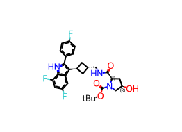 CC(C)(C)OC(=O)N1C[C@H](O)C[C@@H]1C(=O)NC[C@H]1C[C@H](c2c(-c3ccc(F)cc3)[nH]c3c(F)cc(F)cc32)C1